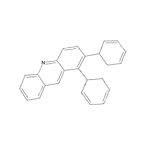 C1=CCC(c2ccc3nc4ccccc4cc3c2C2C=CC=CC2)C=C1